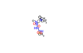 CN(C)[C@]1(c2ccccc2)CC[C@]2(CC1)CN(CC(=O)NCCNS(C)(=O)=O)C(=O)N2CC1CCC1